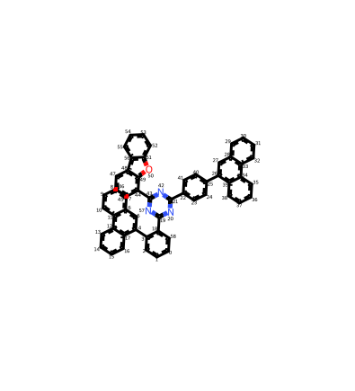 c1ccc(-c2cc3ccccc3c3ccccc23)c(-c2nc(-c3ccc(-c4cc5ccccc5c5ccccc45)cc3)nc(-c3cccc4c3oc3ccccc34)n2)c1